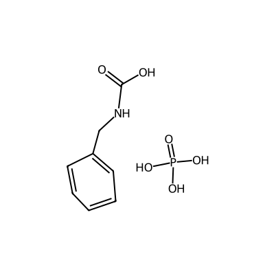 O=C(O)NCc1ccccc1.O=P(O)(O)O